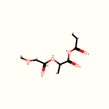 CCC(=O)OC(=O)C(C)OC(=O)COC